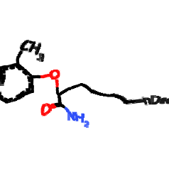 CCCCCCCCCCCCCCC(Oc1ccccc1C)C(N)=O